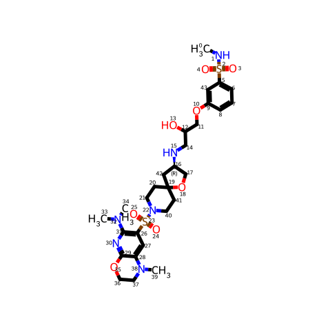 CNS(=O)(=O)c1cccc(OCC(O)CN[C@H]2COC3(CCN(S(=O)(=O)c4cc5c(nc4N(C)C)OCCN5C)CC3)C2)c1